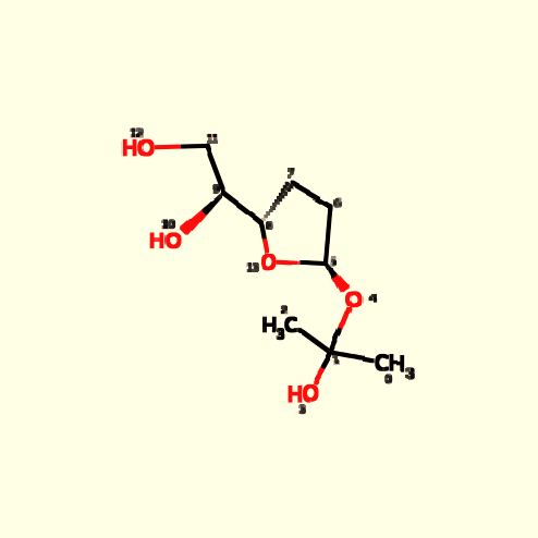 CC(C)(O)O[C@@H]1CC[C@@H]([C@@H](O)CO)O1